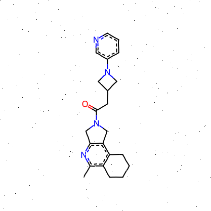 Cc1nc2c(c3c1CCCC3)CN(C(=O)CC1CN(c3cccnc3)C1)C2